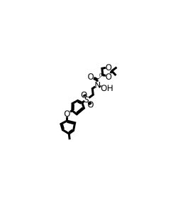 Cc1ccc(Oc2ccc(S(=O)(=O)CCN(O)C(=O)[C@@H]3COC(C)(C)O3)cc2)cc1